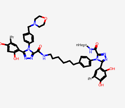 CCCCCCCNC(=O)c1nnc(-c2cc(C(C)C)c(O)cc2O)n1-c1ccc(CCCCCCNC(=O)c2nnc(-c3cc(C(C)C)c(O)cc3O)n2-c2ccc(CN3CCOCC3)cc2)cc1